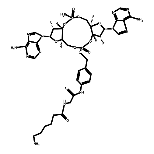 BP1(=O)OC[C@H]2O[C@@H](n3cnc4c(N)ncnc43)[C@H](F)[C@@H]2OP(=O)(SCc2ccc(NC(=O)CNC(=O)CCCCCN)cc2)OC[C@H]2O[C@@H](n3cnc4c(N)ncnc43)[C@H](F)[C@@H]2O1